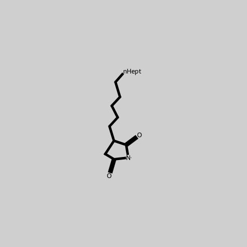 CCCCCCCCCCCCC1CC(=O)[N]C1=O